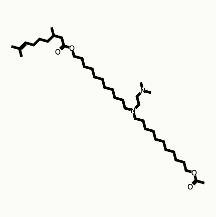 CC(=O)OCCCCCCCCCCCN(CCCCCCCCCCCOC(=O)CC(C)CCCC=C(C)C)CCN(C)C